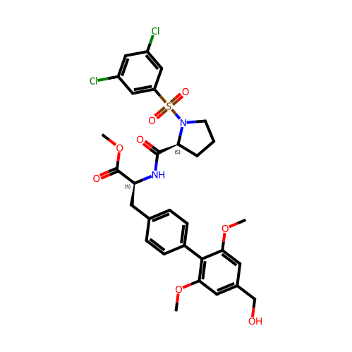 COC(=O)[C@H](Cc1ccc(-c2c(OC)cc(CO)cc2OC)cc1)NC(=O)[C@@H]1CCCN1S(=O)(=O)c1cc(Cl)cc(Cl)c1